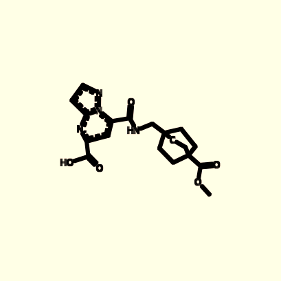 COC(=O)C12CCC(CNC(=O)c3cc(C(=O)O)nc4ccnn34)(CC1)CC2